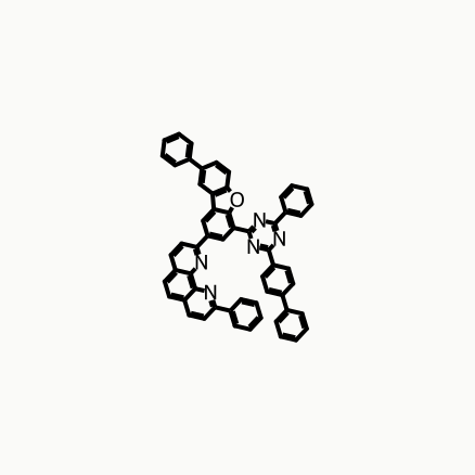 c1ccc(-c2ccc(-c3nc(-c4ccccc4)nc(-c4cc(-c5ccc6ccc7ccc(-c8ccccc8)nc7c6n5)cc5c4oc4ccc(-c6ccccc6)cc45)n3)cc2)cc1